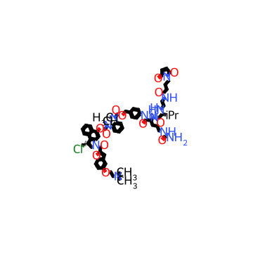 CC(C)C(NCCNC(=O)CCCN1C(=O)C=CC1=O)C(=O)NC(CCCNC(N)=O)C(=O)Nc1ccc(COC(=O)N(C)c2ccccc2N(C)C(=O)Oc2cc3c(c4ccccc24)[C@H](CCl)CN3C(=O)c2cc3cc(OCCN(C)C)ccc3o2)cc1